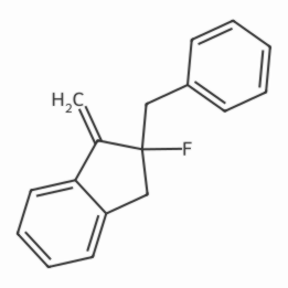 C=C1c2ccccc2CC1(F)Cc1ccccc1